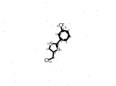 FC(F)(F)c1cccc(C2=NC(CCl)CS2)c1